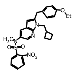 CCOc1ccc(Cc2cc3cc(N(C)S(=O)(=O)c4ccccc4[N+](=O)[O-])cnc3n2CC2CCC2)cc1